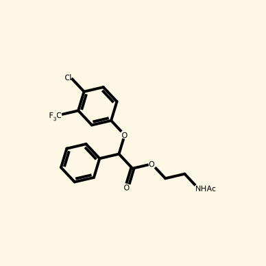 CC(=O)NCCOC(=O)C(Oc1ccc(Cl)c(C(F)(F)F)c1)c1ccccc1